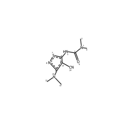 CN(C)C(=O)Nc1snc(N(C)C)c1C#N